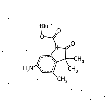 Cc1cc(N)cc2c1C(C)(C)C(=O)N2C(=O)OC(C)(C)C